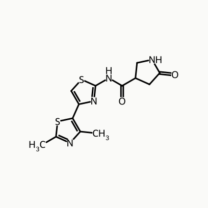 Cc1nc(C)c(-c2csc(NC(=O)C3CNC(=O)C3)n2)s1